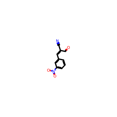 N#CC(C=O)=Cc1cccc([N+](=O)[O-])c1